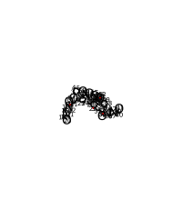 COc1ccccc1-c1c(/C=C/C(=O)N2CCN(C(C)=O)CC2)ccc(Sc2ccc(/C=C/C(=O)N3CCN(C(C)=O)CC3)c(-c3ccccc3OC)c2[N+](=O)[O-])c1[N+](=O)[O-]